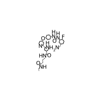 CCNC(=O)CCCNC(=O)c1c[nH]c(-c2cc(Oc3ccc(NC(=O)Nc4cc(CN)ccc4F)cc3)ccn2)c1